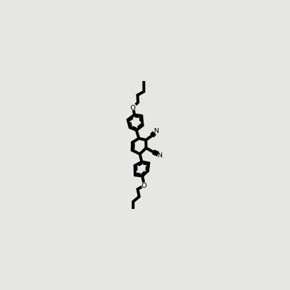 CCCCOc1ccc(C2C=CC(c3ccc(OCCCC)cc3)C(C#N)C2C#N)cc1